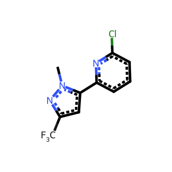 Cn1nc(C(F)(F)F)cc1-c1cccc(Cl)n1